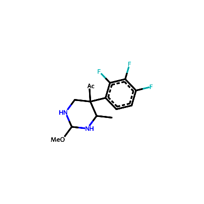 COC1NCC(C(C)=O)(c2ccc(F)c(F)c2F)C(C)N1